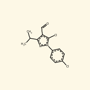 CC(C)c1nn(-c2ccc(Cl)cc2)c(Cl)c1C=O